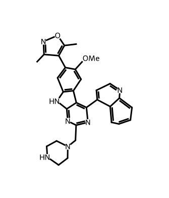 COc1cc2c(cc1-c1c(C)noc1C)[nH]c1nc(CN3CCNCC3)nc(-c3ccnc4ccccc34)c12